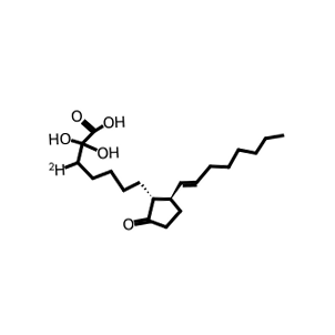 [2H]C(CCCC[C@H]1C(=O)CC[C@@H]1C=CCCCCCC)C(O)(O)C(=O)O